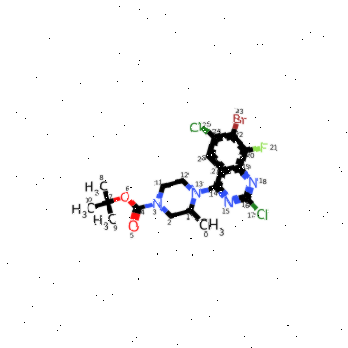 CC1CN(C(=O)OC(C)(C)C)CCN1c1nc(Cl)nc2c(F)c(Br)c(Cl)cc12